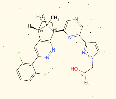 CC[C@H](O)Cn1ccc(-c2cncc([C@@]34CC[C@@H](c5cc(-c6c(F)cccc6F)nnc53)C4(C)C)n2)n1